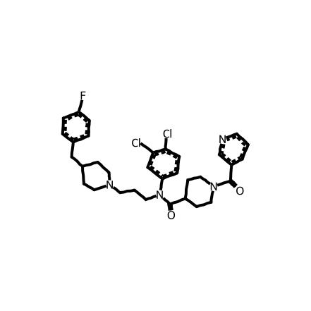 O=C(c1cccnc1)N1CCC(C(=O)N(CCCN2CCC(Cc3ccc(F)cc3)CC2)c2ccc(Cl)c(Cl)c2)CC1